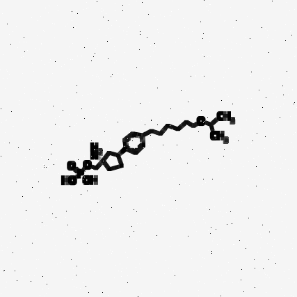 CC(C)OCCCCCCc1ccc([C@H]2CC[C@@](N)(COP(=O)(O)O)C2)cc1